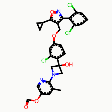 Cc1cc(OC=O)cnc1N1CC(O)(c2ccc(OCc3c(-c4c(Cl)cccc4Cl)noc3C3CC3)cc2Cl)C1